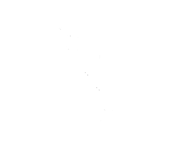 Cc1cc(C)cc(N2CCN(CC(O)c3ccc(Br)cc3)CC2)c1